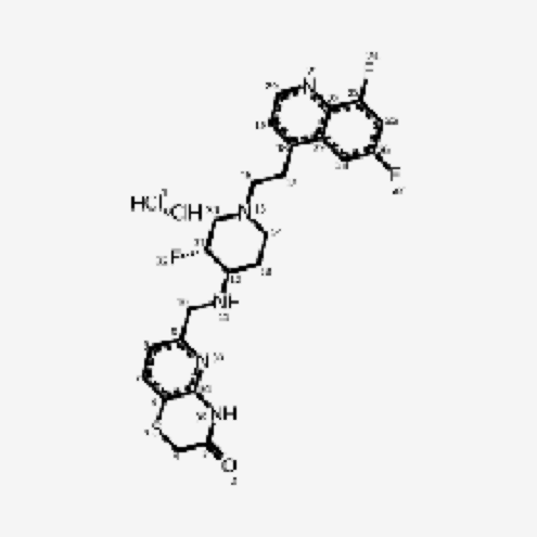 Cl.Cl.O=C1CSc2ccc(CN[C@@H]3CCN(CCc4ccnc5c(F)cc(F)cc45)C[C@H]3F)nc2N1